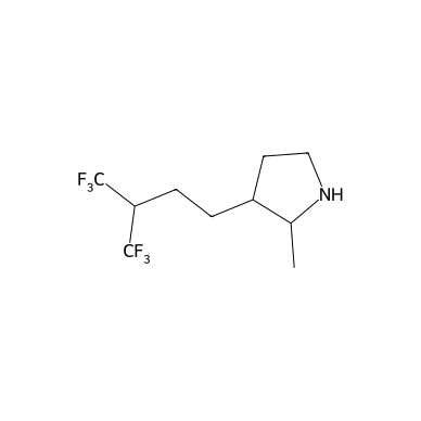 CC1NCCC1CCC(C(F)(F)F)C(F)(F)F